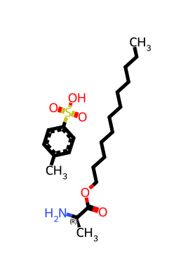 CCCCCCCCCCCCOC(=O)[C@@H](C)N.Cc1ccc(S(=O)(=O)O)cc1